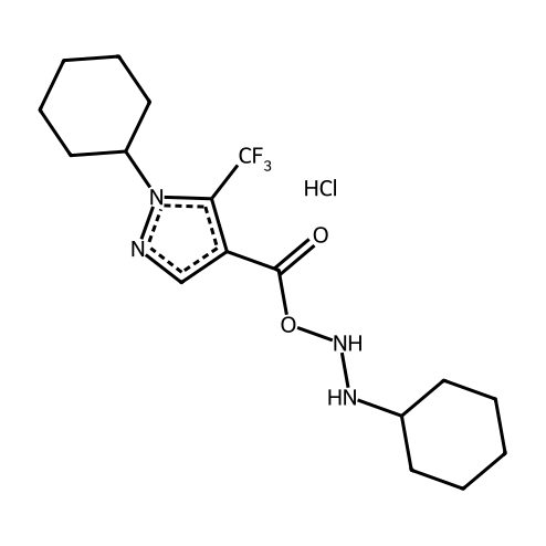 Cl.O=C(ONNC1CCCCC1)c1cnn(C2CCCCC2)c1C(F)(F)F